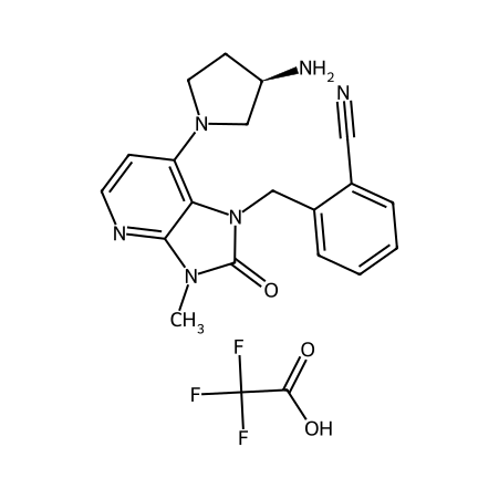 Cn1c(=O)n(Cc2ccccc2C#N)c2c(N3CC[C@@H](N)C3)ccnc21.O=C(O)C(F)(F)F